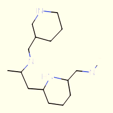 CCNCC1CCCC(CC(C)NCC2CCCNC2)N1